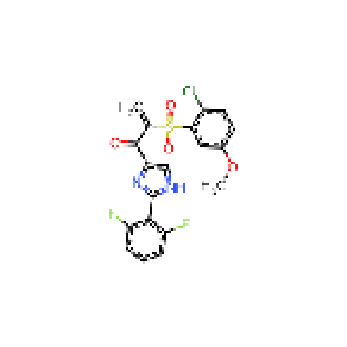 C=C(C(=O)c1c[nH]c(-c2c(F)cccc2F)n1)S(=O)(=O)c1cc(OC)ccc1Cl